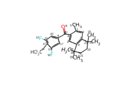 Cc1cc2c(cc1C(=O)c1cc(F)c(C(=O)O)c(F)c1)C(C)(C)CCC2(C)C